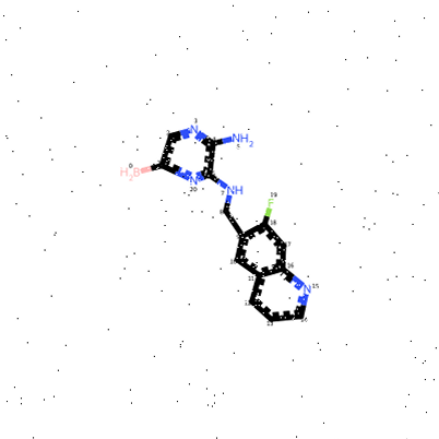 Bc1cnc(N)c(NCc2cc3cccnc3cc2F)n1